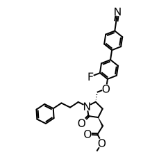 COC(=O)C[C@@H]1C[C@@H](COc2ccc(-c3ccc(C#N)cc3)cc2F)N(CCCc2ccccc2)C1=O